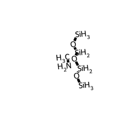 CN.[SiH3]O[SiH2]O[SiH2]O[SiH3]